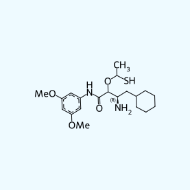 COc1cc(NC(=O)C(OC(C)S)[C@H](N)CC2CCCCC2)cc(OC)c1